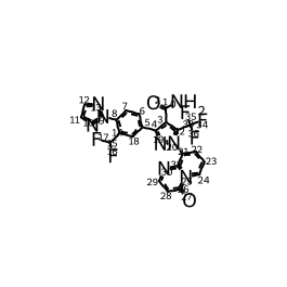 NC(=O)c1c(-c2ccc(-n3nccn3)c(C(F)F)c2)nn(-c2cccn3c(=O)ccnc23)c1C(F)(F)F